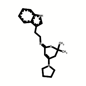 CC1(C)CC(N2CCCC2)=CC(=NCCc2c[nH]c3ccccc23)S1